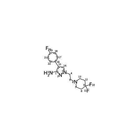 Nc1nn(CCN2CCC(F)(F)CC2)cc1-c1ccc(F)cc1